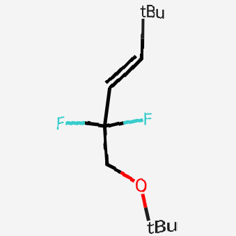 CC(C)(C)/C=C/C(F)(F)COC(C)(C)C